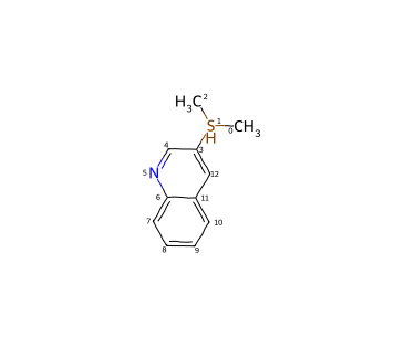 C[SH](C)c1cnc2ccccc2c1